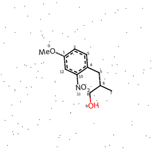 COc1ccc(CC(C)CO)c([N+](=O)[O-])c1